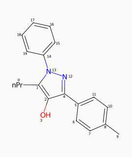 CCCc1c(O)c(-c2ccc(C)cc2)nn1-c1ccccc1